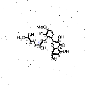 COc1ccc(-c2oc3cc(O)cc(O)c3c(=O)c2O)c(C/C=C(\C)CCC=C(C)C)c1O